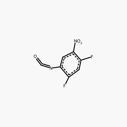 O=C=Nc1cc([N+](=O)[O-])c(F)cc1F